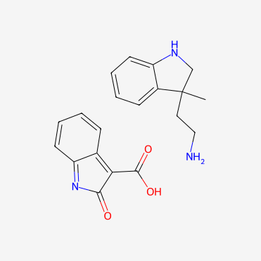 CC1(CCN)CNc2ccccc21.O=C(O)C1=c2ccccc2=NC1=O